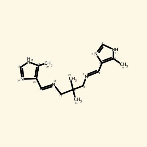 Cc1[nH]cnc1/C=N/CC(C)(C)C/N=C/c1nc[nH]c1C